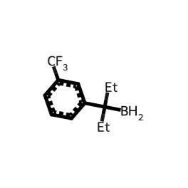 BC(CC)(CC)c1cccc(C(F)(F)F)c1